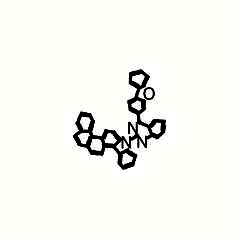 c1ccc2c(c1)ccc1ccc3c(ccc4c3c3ccccc3n4-c3nc(-c4ccc5c(c4)oc4ccccc45)c4ccccc4n3)c12